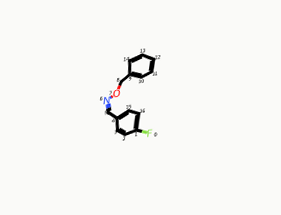 Fc1ccc(/[C]=N\OCc2ccccc2)cc1